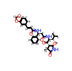 CC(C)C[C@H](NC(=O)C[C@H](NC(=O)/C=C/c1ccc2c(c1)OCO2)c1ccccc1)C(=O)[C@@H]1C(=O)NC(=O)[C@H]1C